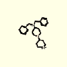 c1ccc(CN(Cc2ccccc2)C2CCN(C3CCNCC3)CC2)cc1